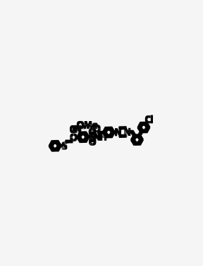 CO[N+](=O)c1cc(S(=O)(=O)NC(=O)c2ccc(N3CCN(Cc4ccccc4-c4ccc(Cl)cc4)CC3)cc2)ccc1OCCSc1ccccc1